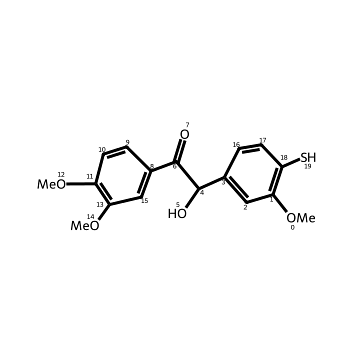 COc1cc(C(O)C(=O)c2ccc(OC)c(OC)c2)ccc1S